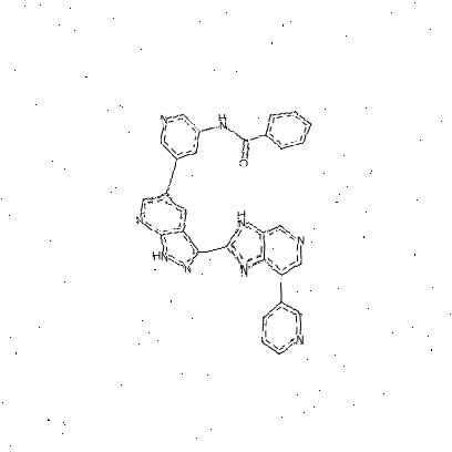 O=C(Nc1cncc(-c2cnc3[nH]nc(-c4nc5c(-c6cccnc6)cncc5[nH]4)c3c2)c1)c1ccccc1